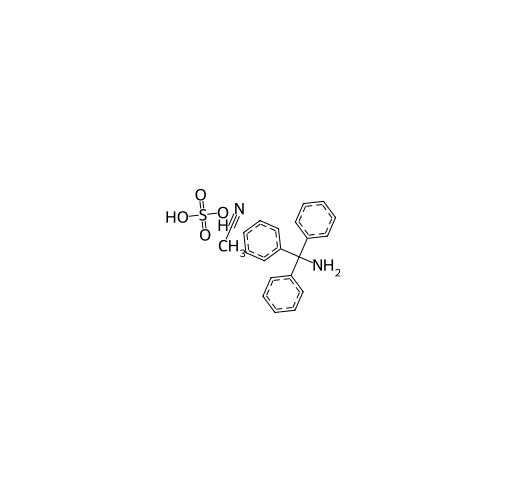 CC#N.NC(c1ccccc1)(c1ccccc1)c1ccccc1.O=S(=O)(O)O